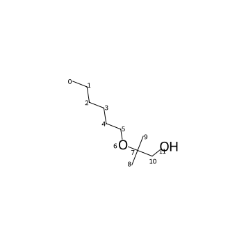 CCCCCCOC(C)(C)CO